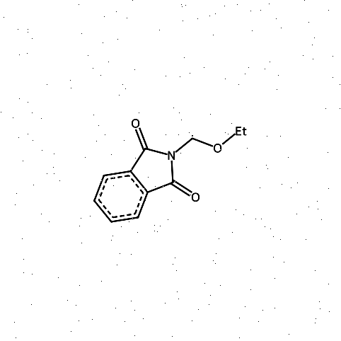 CCO[CH]N1C(=O)c2ccccc2C1=O